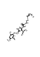 Cc1cc(F)c(COc2nsc(NC(=O)NCCCN)c2C(N)=O)cc1F